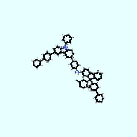 Cc1ccc(C)c(C2(c3ccc(-c4ccccc4)cc3)c3ccccc3-c3ccc(Nc4ccc(-c5ccc6c(c5)c5cc(-c7ccc(-c8ccccc8)cc7)ccc5n6-c5ccccc5)cc4)cc32)c1